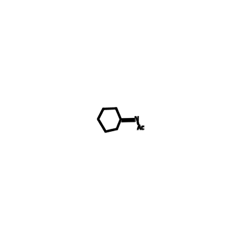 CC(=O)N=C1CCCCC1